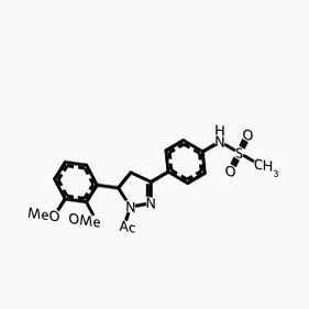 COc1cccc(C2CC(c3ccc(NS(C)(=O)=O)cc3)=NN2C(C)=O)c1OC